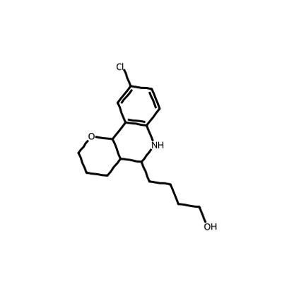 OCCCCC1Nc2ccc(Cl)cc2C2OCCCC12